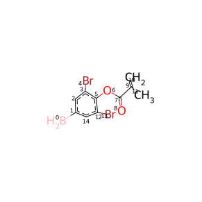 Bc1cc(Br)c(OC(=O)C(=C)C)c(Br)c1